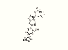 CC1(C)CC(n2cnc3cc(-c4ccc(-c5cn[nH]c5)cc4O)nnc32)CC(C)(C)N1